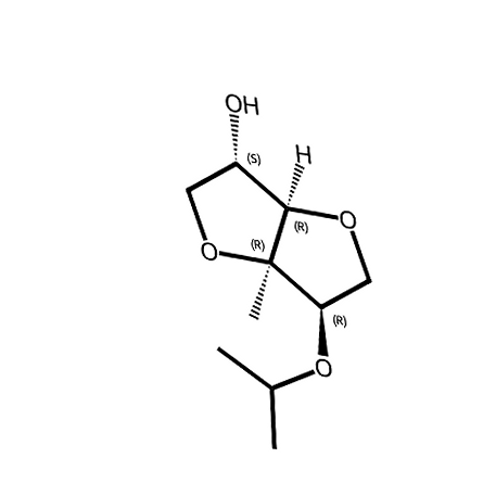 CC(C)O[C@@H]1CO[C@@H]2[C@@H](O)CO[C@@]21C